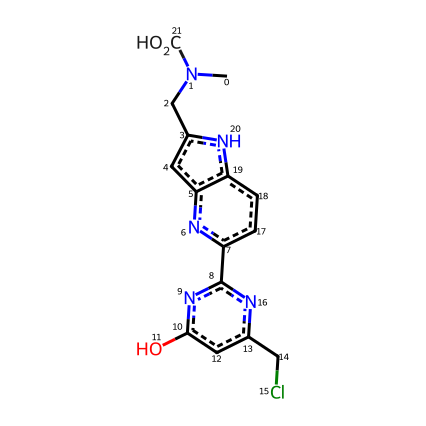 CN(Cc1cc2nc(-c3nc(O)cc(CCl)n3)ccc2[nH]1)C(=O)O